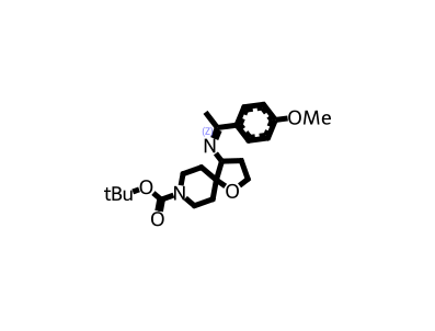 COc1ccc(/C(C)=N\C2CCOC23CCN(C(=O)OC(C)(C)C)CC3)cc1